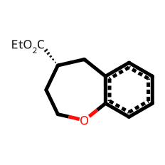 CCOC(=O)[C@H]1CCOc2ccccc2C1